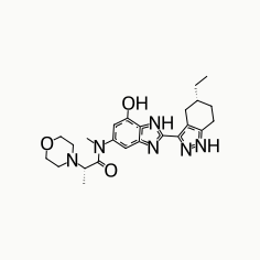 CC[C@@H]1CCc2[nH]nc(-c3nc4cc(N(C)C(=O)[C@H](C)N5CCOCC5)cc(O)c4[nH]3)c2C1